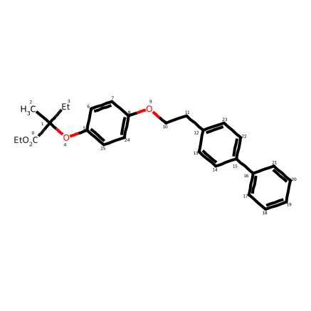 CCOC(=O)C(C)(CC)Oc1ccc(OCCc2ccc(-c3ccccc3)cc2)cc1